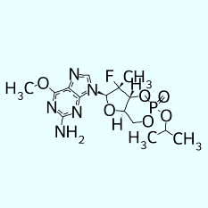 COc1nc(N)nc2c1ncn2[C@@H]1O[C@@H]2COP(=O)(OC(C)C)O[C@H]2[C@@]1(C)F